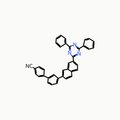 N#Cc1ccc(-c2cccc(-c3ccc4ccc(-c5nc(-c6ccccc6)nc(-c6ccccc6)n5)cc4c3)c2)cc1